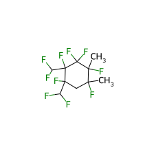 CC1(F)CC(F)(C(F)F)C(F)(C(F)F)C(F)(F)C1(C)F